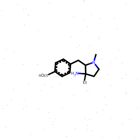 CCCCCCCCc1ccc(CC2N(C)CCC2(N)CC)cc1